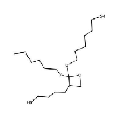 CCCCCCOC1(OCCCCCCS)OCC1CCCCS